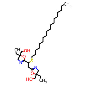 CCCCCCCCCCCCCCCCCCSC(CC1=NCC(CC)(CO)O1)C1=NCC(CC)(CO)O1